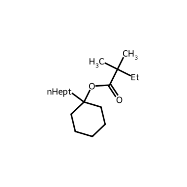 CCCCCCCC1(OC(=O)C(C)(C)CC)CCCCC1